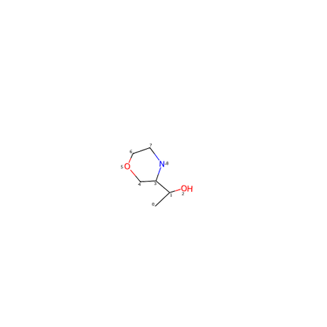 CC(O)C1COCC[N]1